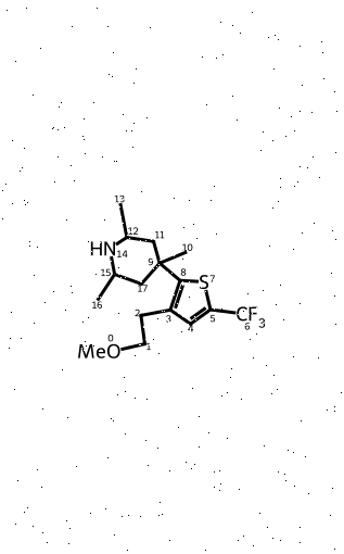 COCCc1cc(C(F)(F)F)sc1C1(C)CC(C)NC(C)C1